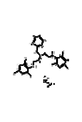 Cc1cc(C)c(NCCN(CCNc2c(C)cc(C)cc2C)Cc2ccccn2)c(C)c1.[Cl-].[Cl-].[Tc+2]